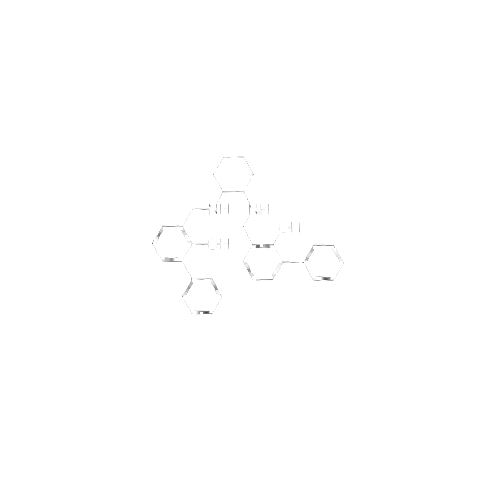 Oc1c(CNC2CCCCC2NCc2cccc(-c3ccccc3)c2O)cccc1-c1ccccc1